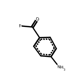 Nc1ccc(C(=O)F)cc1